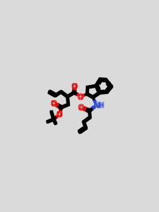 C=CCCC(=O)N[C@@H]1c2ccccc2C[C@@H]1OC(=O)C(CC=C)CC(=O)OC(C)(C)C